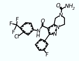 NC(=O)N1CCn2nc(-c3cccc(F)c3)c(C(=O)Nc3ccc(C(F)(F)F)c(Cl)c3)c2C1